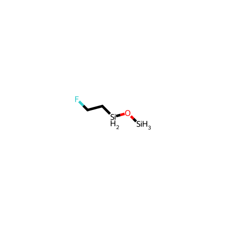 FCC[SiH2]O[SiH3]